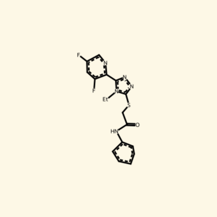 CCn1c(SCC(=O)Nc2ccccc2)nnc1-c1ncc(F)cc1F